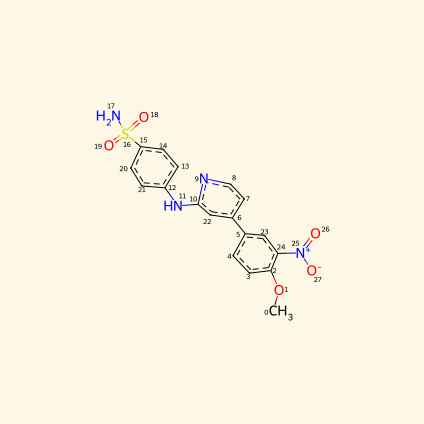 COc1ccc(-c2ccnc(Nc3ccc(S(N)(=O)=O)cc3)c2)cc1[N+](=O)[O-]